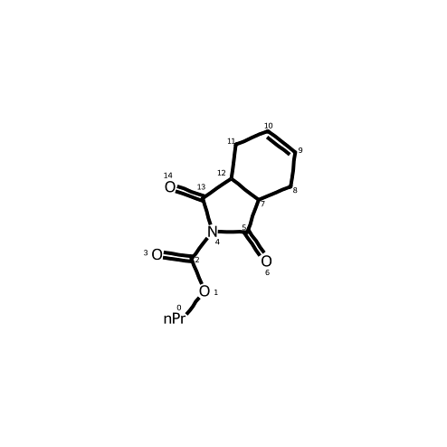 CCCOC(=O)N1C(=O)C2CC=CCC2C1=O